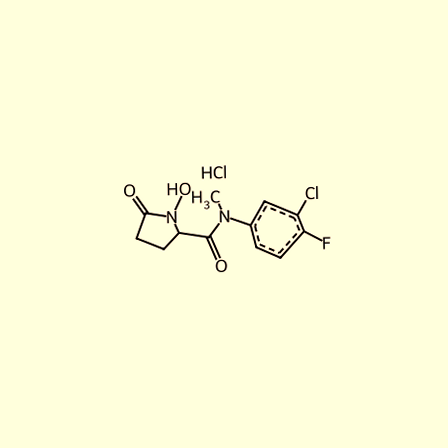 CN(C(=O)C1CCC(=O)N1O)c1ccc(F)c(Cl)c1.Cl